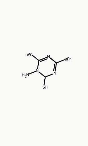 CCCC1=NC(S)N(N)C(CCC)=N1